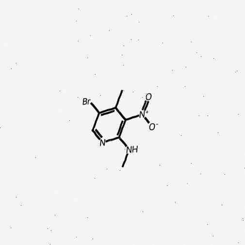 CNc1ncc(Br)c(C)c1[N+](=O)[O-]